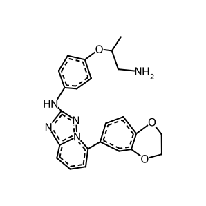 CC(CN)Oc1ccc(Nc2nc3cccc(-c4ccc5c(c4)OCCO5)n3n2)cc1